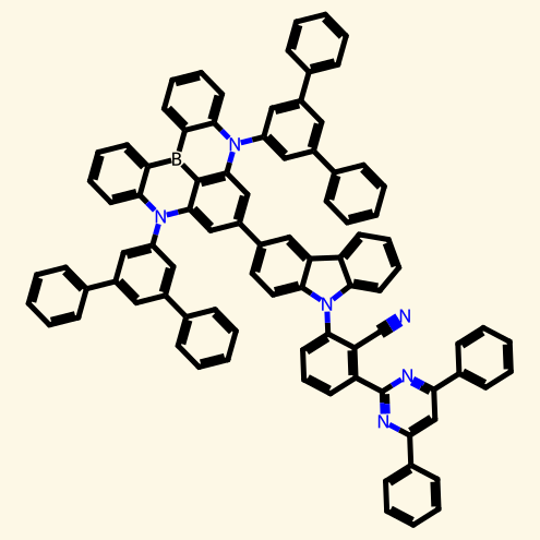 N#Cc1c(-c2nc(-c3ccccc3)cc(-c3ccccc3)n2)cccc1-n1c2ccccc2c2cc(-c3cc4c5c(c3)N(c3cc(-c6ccccc6)cc(-c6ccccc6)c3)c3ccccc3B5c3ccccc3N4c3cc(-c4ccccc4)cc(-c4ccccc4)c3)ccc21